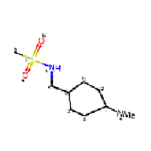 CNC1CCC(CNS(C)(=O)=O)CC1